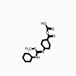 CSC(=NC1CCC(C(=O)OC(=O)O)CC1)NC1CCCCC1